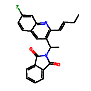 CC/C=C/c1nc2cc(F)ccc2cc1C(C)N1C(=O)c2ccccc2C1=O